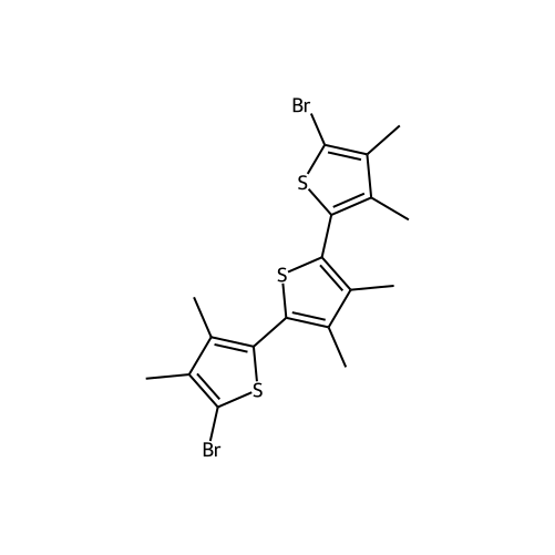 Cc1c(Br)sc(-c2sc(-c3sc(Br)c(C)c3C)c(C)c2C)c1C